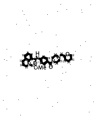 COc1cc(N[S@+]([O-])c2cccc3c2N(C)CC=C3)ccc1C(=O)N1CCN(CC2CCCCO2)CC1